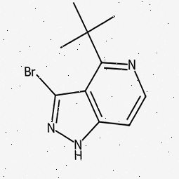 CC(C)(C)c1nccc2[nH]nc(Br)c12